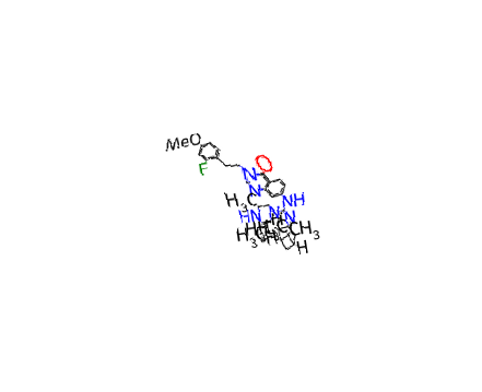 COc1ccc(CCn2cnc3cc(N/C(=N/C4C[C@H]5C[C@@H]([C@@H]4C)C5(C)C)N4C[C@@H](C)N[C@@H](C)C4)ccc3c2=O)c(F)c1